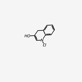 OC1=CN(Cl)c2ccccc2C1